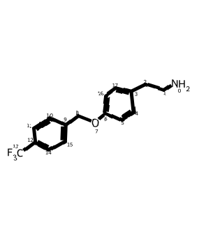 NCCc1ccc(OCc2ccc(C(F)(F)F)cc2)cc1